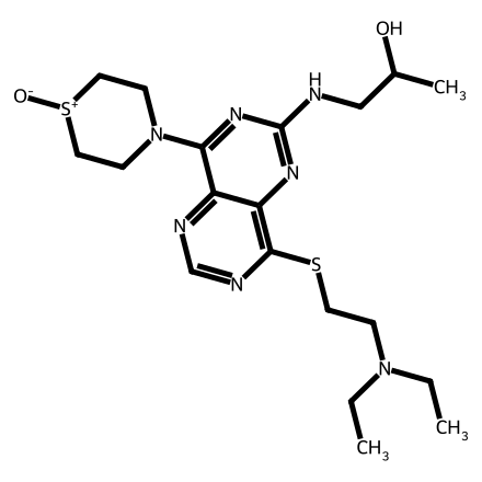 CCN(CC)CCSc1ncnc2c(N3CC[S+]([O-])CC3)nc(NCC(C)O)nc12